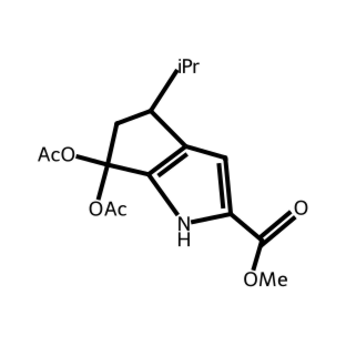 COC(=O)c1cc2c([nH]1)C(OC(C)=O)(OC(C)=O)CC2C(C)C